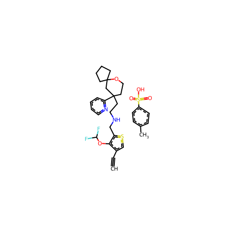 C#Cc1csc(CNCCC2(c3ccccn3)CCOC3(CCCC3)C2)c1OC(F)F.Cc1ccc(S(=O)(=O)O)cc1